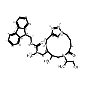 CC1CN(C(C)CO)C(=O)CCCn2cc(nn2)COC1CN(C)C(=O)OCC1c2ccccc2-c2ccccc21